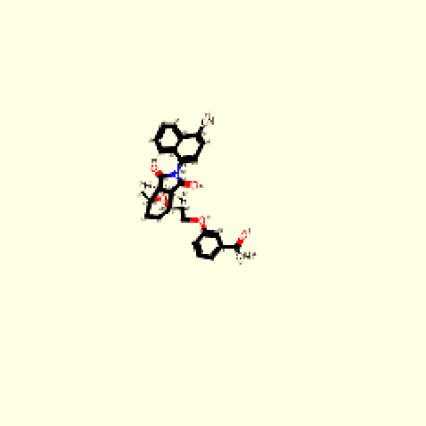 COC(=O)c1cccc(OCC[C@@]23CC[C@@](C)(O2)[C@H]2C(=O)N(c4ccc(C#N)c5ccccc45)C(=O)[C@H]23)c1